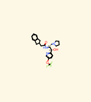 O=C(CC1Cc2ccccc2C1)N[C@H](CN1CCCC1)[C@H](O)c1ccc(OC(F)(F)F)cn1